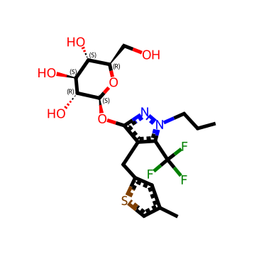 CCCn1nc(O[C@@H]2O[C@H](CO)[C@@H](O)[C@H](O)[C@H]2O)c(Cc2cc(C)cs2)c1C(F)(F)F